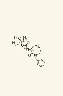 CC(C)(C)OC(=O)N[C@H]1C/C=C\CCN(Cc2ccccc2)C1=O